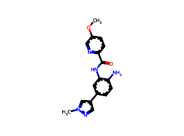 COc1ccc(C(=O)Nc2cc(-c3cnn(C)c3)ccc2N)nc1